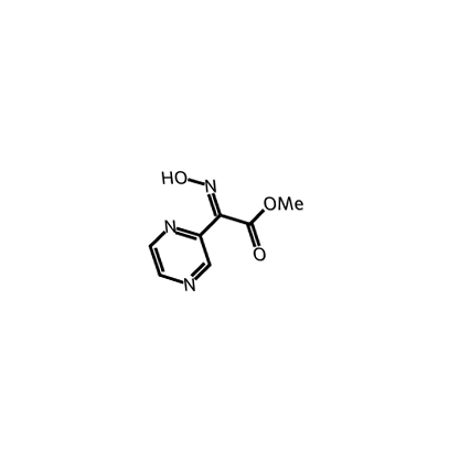 COC(=O)/C(=N/O)c1cnccn1